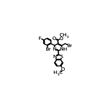 COC(=O)C1=C(CBr)NC(c2nc3ccc(OC)cc3s2)=NC1c1ccc(F)cc1Br